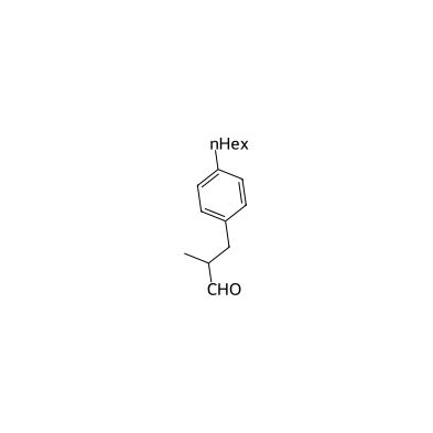 CCCCCCc1ccc(CC(C)C=O)cc1